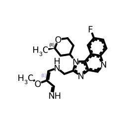 CO/C(C=N)=C/NCc1nc2cnc3ccc(F)cc3c2n1C1CCO[C@H](C)C1